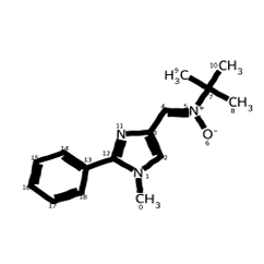 Cn1cc(/C=[N+](\[O-])C(C)(C)C)nc1-c1ccccc1